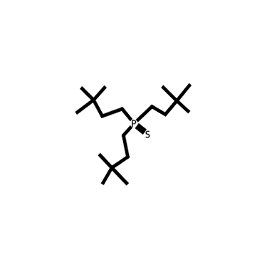 CC(C)(C)CCP(=S)(CCC(C)(C)C)CCC(C)(C)C